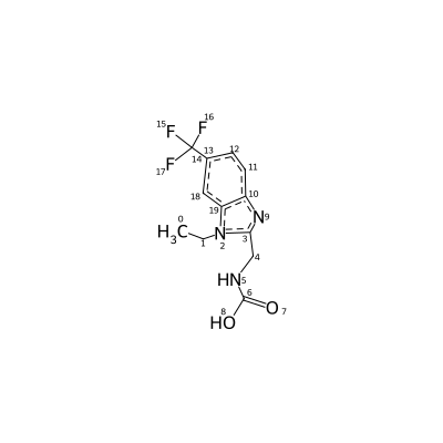 CCn1c(CNC(=O)O)nc2ccc(C(F)(F)F)cc21